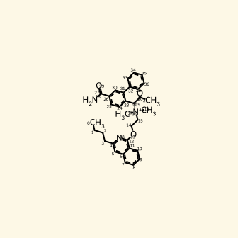 CCCCc1cc2ccccc2c(OCC[N+](C)(C)[C@@H](C(C)=O)c2ccc(C(N)=O)cc2-c2ccccc2)n1